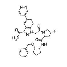 NC(=O)c1nn(CC(=O)N2C[C@H](F)C[C@H]2C(=O)N[C@@H]2CCCC2OCc2ccccc2)c2c1C=C(c1ccnnc1)CC2